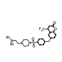 CC(C)N(CCN1CCN(S(=O)(=O)c2ccc(Cc3ccc4oc(=O)cc(C(F)(F)F)c4c3)cc2)CC1)C(C)C